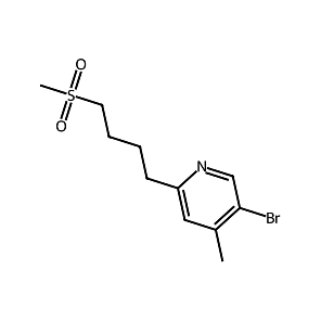 Cc1cc(CCCCS(C)(=O)=O)ncc1Br